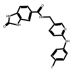 O=C(NCc1ccc(Nc2ccc(F)cc2)nc1)c1ccc2[nH]c(=O)[nH]c2c1